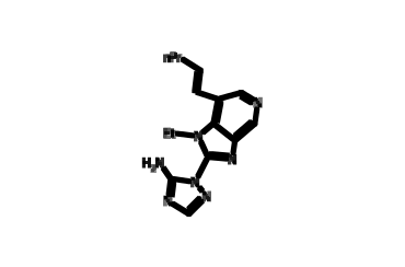 CCCC=Cc1cncc2nc(-n3ncnc3N)n(CC)c12